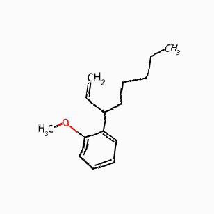 C=C[C](CCCCC)c1ccccc1OC